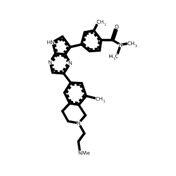 CNCCN1CCc2cc(-c3cnc4[nH]cc(-c5ccc(C(=O)N(C)C)c(C)c5)c4n3)cc(C)c2C1